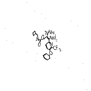 CN(CC1CCC1)C(=O)OC/C(=C(/N)c1ccc(OC2CCCCC2)c(C(F)(F)F)n1)N(C)N